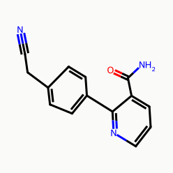 N#CCc1ccc(-c2ncccc2C(N)=O)cc1